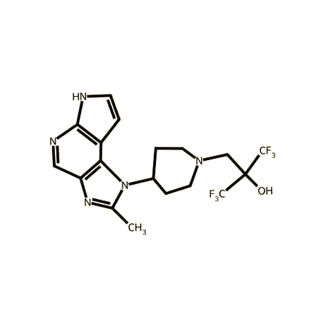 Cc1nc2cnc3[nH]ccc3c2n1C1CCN(CC(O)(C(F)(F)F)C(F)(F)F)CC1